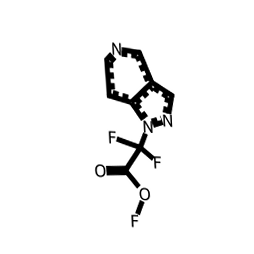 O=C(OF)C(F)(F)n1ncc2cnccc21